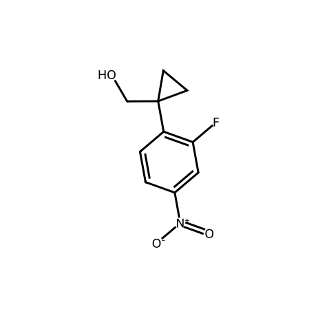 O=[N+]([O-])c1ccc(C2(CO)CC2)c(F)c1